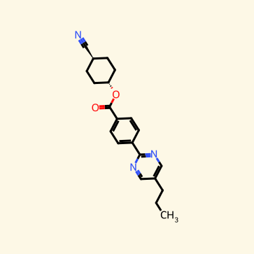 CCCc1cnc(-c2ccc(C(=O)O[C@H]3CC[C@H](C#N)CC3)cc2)nc1